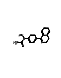 CCCCN(C(N)=O)c1ccc(C2=NCCc3ccccc32)cc1